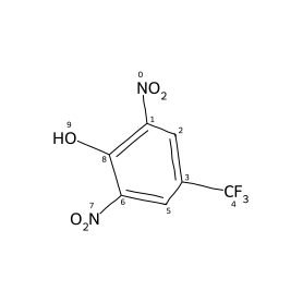 O=[N+]([O-])c1cc(C(F)(F)F)cc([N+](=O)[O-])c1O